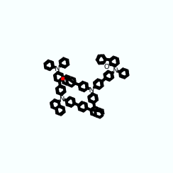 c1ccc(N(c2ccccc2)c2ccc(-c3ccc(N(c4ccc(-c5ccc(C67CC8CC(CC(C8)C6c6ccc(N(c8ccc(-c9ccc(N(c%10ccccc%10)c%10cccc%11c%10oc%10ccccc%10%11)cc9)cc8)c8ccc(C9%10CC%11CC(CC(C%11)C9)C%10)cc8)cc6)C7)cc5)cc4)c4cccc5ccccc45)cc3)cc2)cc1